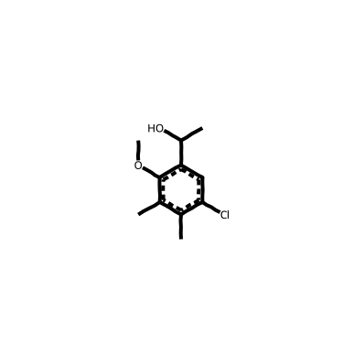 COc1c(C(C)O)cc(Cl)c(C)c1C